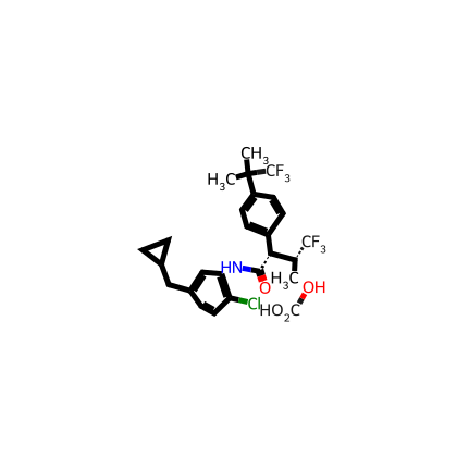 C[C@H]([C@H](C(=O)Nc1cc(CC2CC2)ccc1Cl)c1ccc(C(C)(C)C(F)(F)F)cc1)C(F)(F)F.O=C(O)O